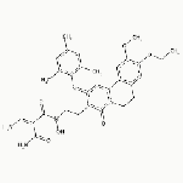 CCOc1cc2c(cc1OC)-c1c/c(=N\c3c(C)cc(C)cc3C)n(CCN(O)C(=O)/C(=C/N)C(N)=O)c(=O)n1CC2